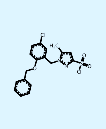 Cc1cc(S(=O)(=O)Cl)nn1Cc1cc(Cl)ccc1OCc1ccccc1